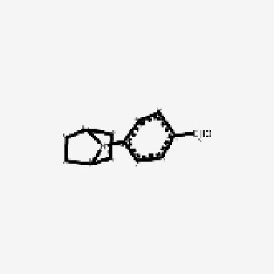 O=Cc1ccc(N2C3CCC2CC3)cc1